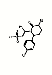 CCC1CCC(c2ccc(Cl)cc2)N(C(CS(=O)(=O)C(C)C)C(C)C)C1=O